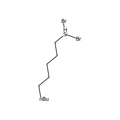 CCCCCCCCC[SiH](Br)Br